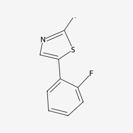 [CH2]c1ncc(-c2ccccc2F)s1